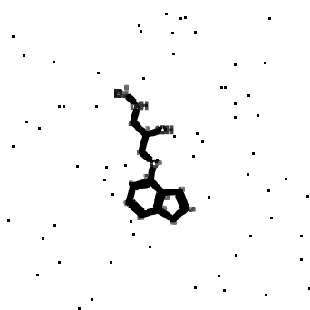 CCC(C)NCC(O)COc1cccc2c1C=CC2